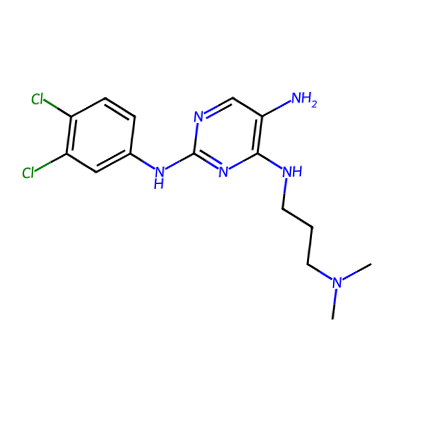 CN(C)CCCNc1nc(Nc2ccc(Cl)c(Cl)c2)ncc1N